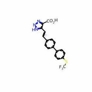 O=C(O)c1nn[nH]c1/C=C/c1ccc(-c2ccc(SC(F)(F)F)cc2)cc1